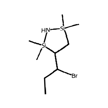 CCC(Br)C1C[Si](C)(C)N[Si]1(C)C